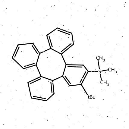 CC(C)(C)c1cc2c(cc1S(C)(C)C)-c1ccccc1-c1ccccc1-c1ccccc1-2